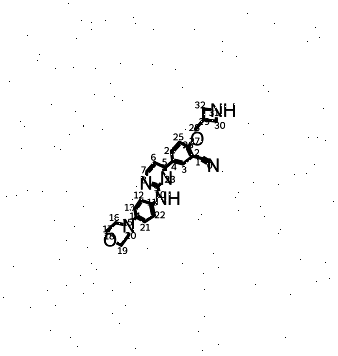 N#Cc1cc(-c2ccnc(Nc3ccc(N4CCOCC4)cc3)n2)ccc1OCC1CNC1